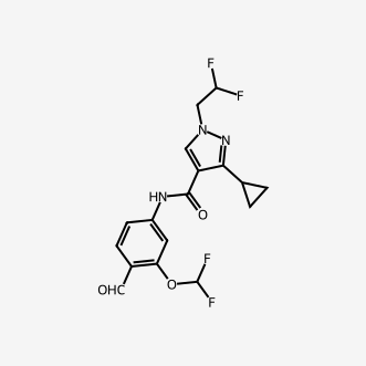 O=Cc1ccc(NC(=O)c2cn(CC(F)F)nc2C2CC2)cc1OC(F)F